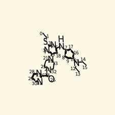 CCSc1nc(Nc2ccc(N(CC)CC)cc2)cc(N2CCN(C(=O)c3ncccn3)CC2)n1